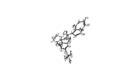 Cc1cnc2c(C(=O)NC3(c4ccc(C(F)(F)F)cc4F)CCOCC3O)ccn2c1